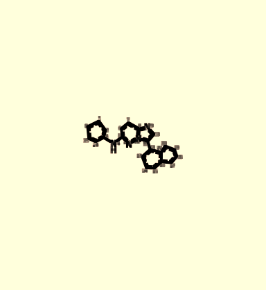 c1ccc(Nc2ccc3ncc(-c4cccc5ccccc45)n3n2)cc1